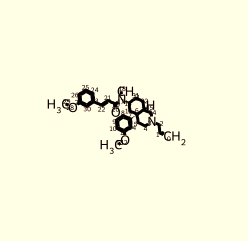 C=CCN1CC[C@@]2(c3cccc(OC)c3)C[C@@H](N(C)C(=O)C=Cc3cccc(OC)c3)CC[C@@H]2C1